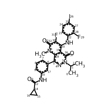 CC(C)n1nc(-c2cccc(NC(=O)C3CC3)c2)c2c(c(Nc3ccc(I)cc3F)c(F)c(=O)n2C)c1=O